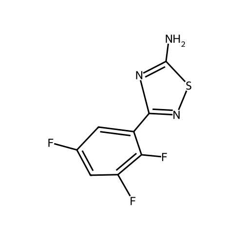 Nc1nc(-c2cc(F)cc(F)c2F)ns1